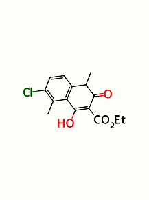 CCOC(=O)C1=C(O)c2c(ccc(Cl)c2C)C(C)C1=O